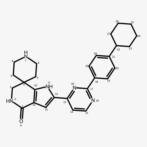 O=C1NCC2(CCNCC2)c2[nH]c(-c3ccnc(-c4ccc(C5CCCCC5)cc4)n3)cc21